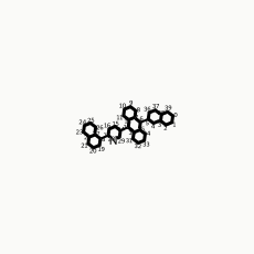 c1ccc2cc(-c3c4ccccc4c(-c4ccc(-c5cccc6ccccc56)nc4)c4ccccc34)ccc2c1